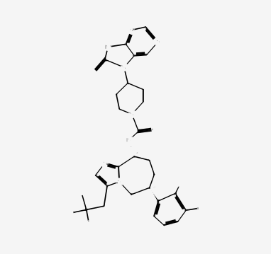 O=C(N[C@@H]1CC[C@@H](c2cccc(F)c2F)Cn2c(CC(F)(F)F)cnc21)N1CCC(n2c(=O)[nH]c3ncncc32)CC1